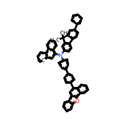 CC1(C)c2cc(-c3ccccc3)ccc2-c2ccc(N(c3ccc(-c4ccc(-c5cc6c7ccccc7oc6c6ccccc56)cc4)cc3)c3cc4ccccc4c4ccccc34)cc21